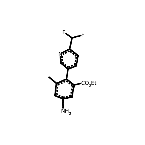 CCOC(=O)c1cc(N)cc(C)c1-c1ccc(C(F)F)nc1